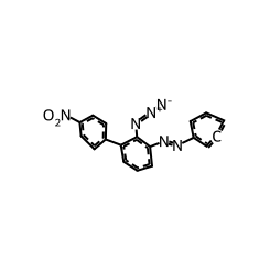 [N-]=[N+]=Nc1c(N=Nc2ccccc2)cccc1-c1ccc([N+](=O)[O-])cc1